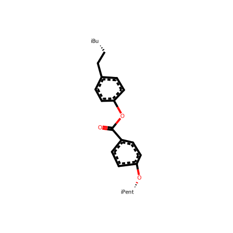 CCC[C@@H](C)Oc1ccc(C(=O)Oc2ccc(CC[C@@H](C)CC)cc2)cc1